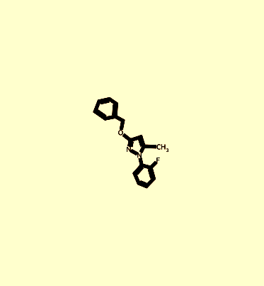 Cc1cc(OCc2ccccc2)nn1-c1ccccc1F